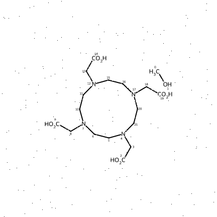 CO.O=C(O)CN1CCN(CC(=O)O)CCN(CC(=O)O)CCN(CC(=O)O)CC1